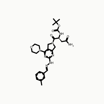 Cc1cccc(/C=N/Nc2nc3c(c(N4CCOCC4)n2)CN(C(=O)[C@H](CC(N)=O)NC(=O)OC(C)(C)C)C3)c1